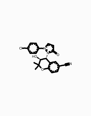 CC1(C)Oc2ccc(C#N)cc2[C@@H](n2c(=O)ccn2-c2ccc(Cl)cc2)[C@@H]1O